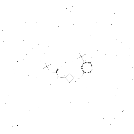 CC(C)(C)OC(=O)NC1CC(Oc2cncc(C(F)(F)F)c2)C1